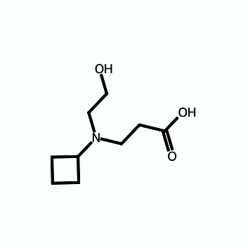 O=C(O)CCN(CCO)C1CCC1